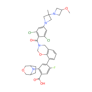 COC1CN(C2(C)CN(c3cc(Cl)c(C(=O)N4COc5c(cccc5-c5cc(N6C7CCC6COC7)c(C(=O)O)cc5F)C4)c(Cl)c3)C2)C1